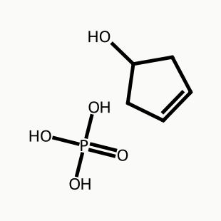 O=P(O)(O)O.OC1CC=CC1